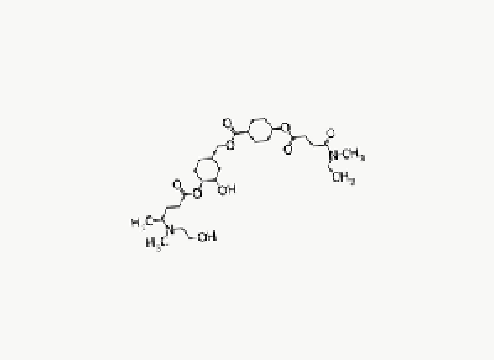 C=C(CCC(=O)OC1CCC(COC(=O)C2CCC(OC(=O)CCC(=O)N(C)CC)CC2)CC1O)N(C)CCO